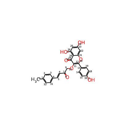 Cc1ccc(/C=C/C(=O)COc2c(-c3ccc(O)cc3)oc3cc(O)cc(O)c3c2=O)cc1